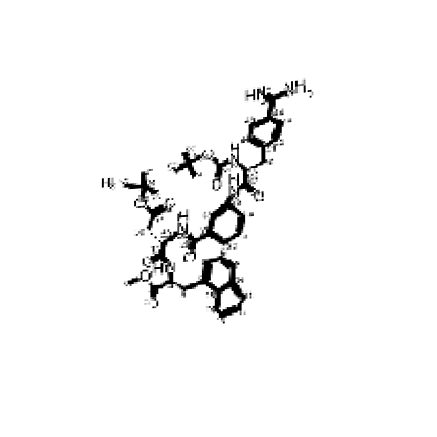 COC(=O)[C@H](Cc1cccc2ccccc12)NC(=O)[C@H](CC(=O)OC(C)(C)C)NC(=O)c1cccc(NC(=O)[C@H](Cc2ccc(C(=N)N)cc2)NC(=O)OC(C)(C)C)c1.I